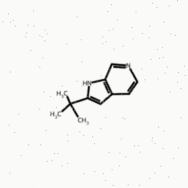 CC(C)(C)c1cc2ccncc2[nH]1